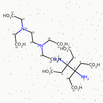 NC(CC(=O)O)(CC(=O)O)C(N)(CC(=O)O)CC(=O)O.O=C(O)CN(CCN(CC(=O)O)CC(=O)O)CC(=O)O